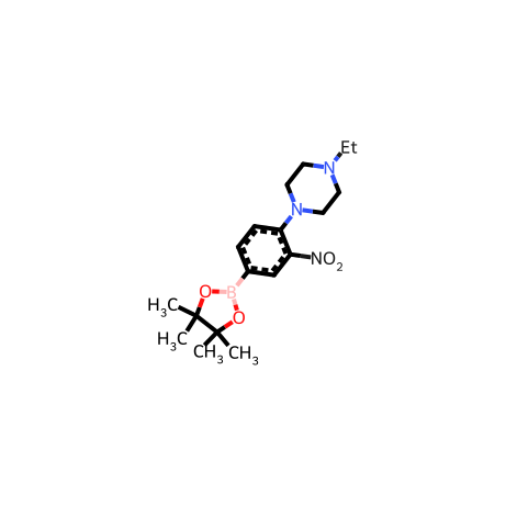 CCN1CCN(c2ccc(B3OC(C)(C)C(C)(C)O3)cc2[N+](=O)[O-])CC1